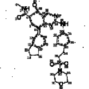 CNC(=O)c1cn(-c2ccc3c(c2)CCC3)c2nc(Nc3ccc(CCS(=O)(=O)N4CCOCC4)cc3)ncc2c1=O